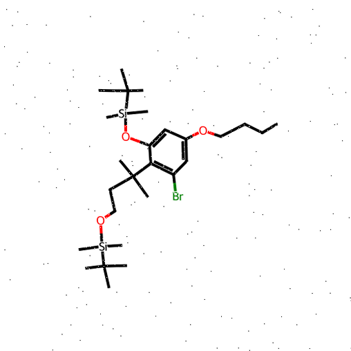 CCCCOc1cc(Br)c(C(C)(C)CCO[Si](C)(C)C(C)(C)C)c(O[Si](C)(C)C(C)(C)C)c1